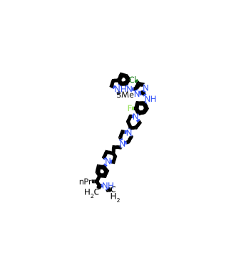 C=CNC(=C)C(CCC)c1ccc(N2CCC(CCN3CCN(C4CCN(c5ccc(Nc6ncc(Cl)c(Nc7cccc8c7N(SC)CC8)n6)cc5F)CC4)CC3)CC2)cc1